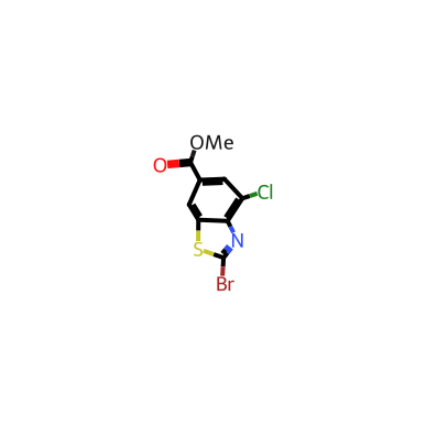 COC(=O)c1cc(Cl)c2nc(Br)sc2c1